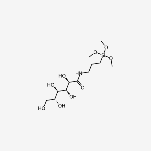 CO[Si](CCCNC(=O)[C@H](O)[C@@H](O)[C@H](O)[C@H](O)CO)(OC)OC